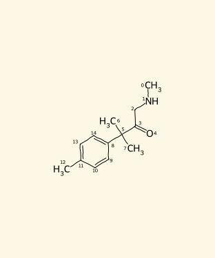 CNCC(=O)C(C)(C)c1ccc(C)cc1